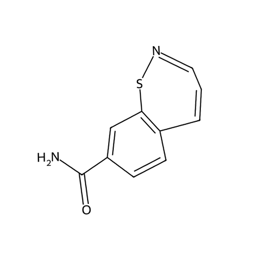 NC(=O)c1ccc2c(c1)SN=CC=C2